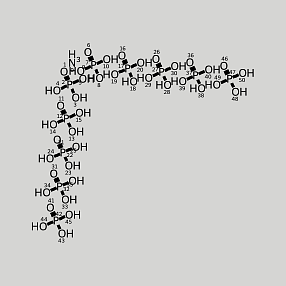 N.O=P(O)(O)O.O=P(O)(O)O.O=P(O)(O)O.O=P(O)(O)O.O=P(O)(O)O.O=P(O)(O)O.O=P(O)(O)O.O=P(O)(O)O.O=P(O)(O)O.O=P(O)(O)O